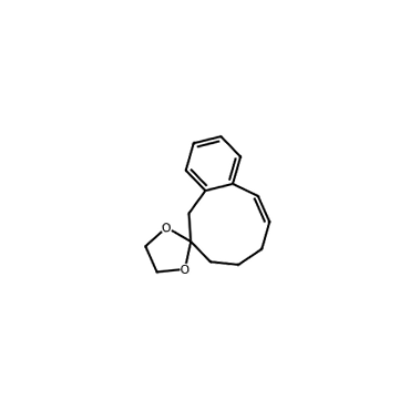 C1=C\c2ccccc2CC2(CCC/1)OCCO2